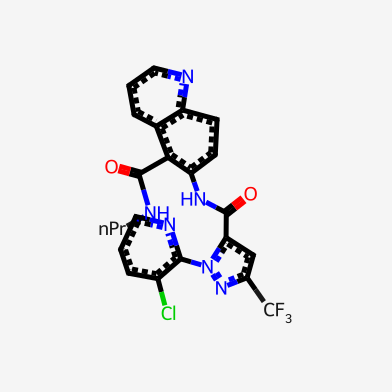 CCCNC(=O)c1c(NC(=O)c2cc(C(F)(F)F)nn2-c2ncccc2Cl)ccc2ncccc12